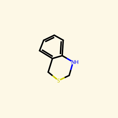 c1ccc2c(c1)CSCN2